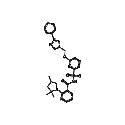 CC1CN(c2ncccc2C(=O)NS(=O)(=O)c2cccc(OCc3cnn(-c4ccccc4)c3)n2)C(C)(C)C1